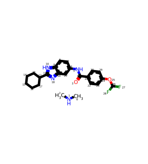 CNC.O=C(Nc1ccc2[nH]c(C3CCCCC3)nc2c1)c1ccc(OC(F)F)cc1